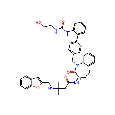 CC(C)(CC(=O)N[C@@H]1CCc2ccccc2N(Cc2ccc(-c3ccccc3NC(=O)NCCO)cc2)C1=O)NCc1cc2ccccc2o1